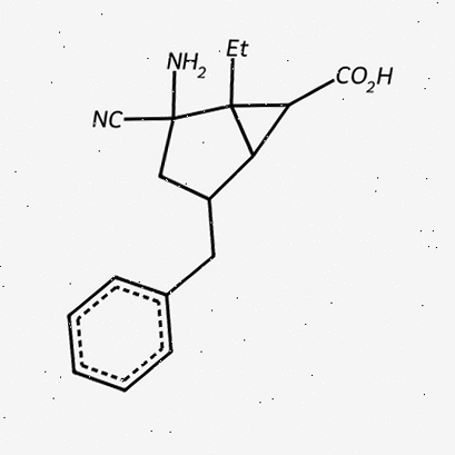 CCC12C(C(=O)O)C1C(Cc1ccccc1)CC2(N)C#N